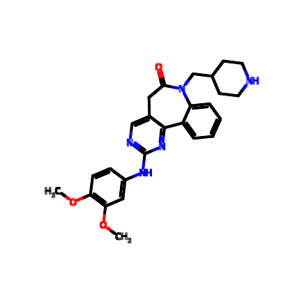 COc1ccc(Nc2ncc3c(n2)-c2ccccc2N(CC2CCNCC2)C(=O)C3)cc1OC